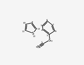 N#CSc1ccccc1.c1ccsc1